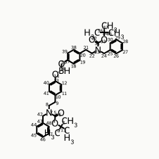 CC(C)(C)OC(=O)N(CCc1ccc(OBOc2ccc(CCN(Cc3ccccc3)C(=O)OC(C)(C)C)cc2)cc1)Cc1ccccc1